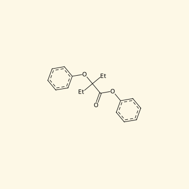 CCC(CC)(Oc1ccccc1)C(=O)Oc1ccccc1